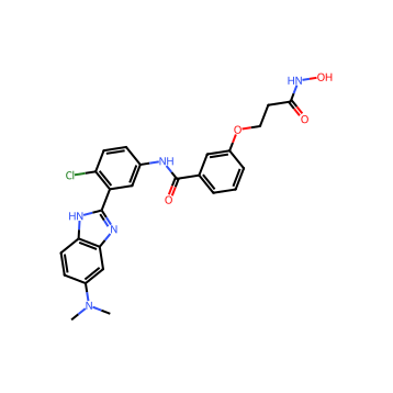 CN(C)c1ccc2[nH]c(-c3cc(NC(=O)c4cccc(OCCC(=O)NO)c4)ccc3Cl)nc2c1